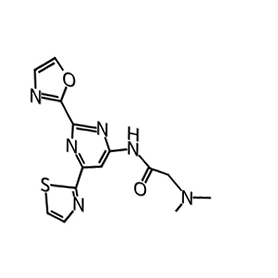 CN(C)CC(=O)Nc1cc(-c2nccs2)nc(-c2ncco2)n1